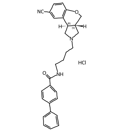 Cl.N#Cc1ccc2c(c1)[C@@H]1CN(CCCCNC(=O)c3ccc(-c4ccccc4)cc3)C[C@H]1CO2